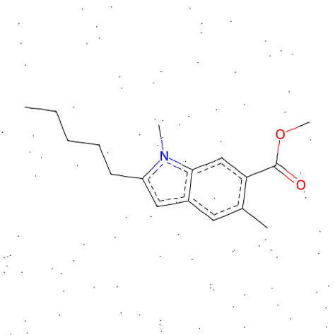 CCCCCc1cc2cc(C)c(C(=O)OC)cc2n1C